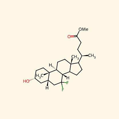 COC(=O)CC[C@@H](C)C1CCC2[C@H]3[C@H](CC[C@]12C)[C@@]1(C)CC[C@@H](O)C[C@H]1CC3(F)F